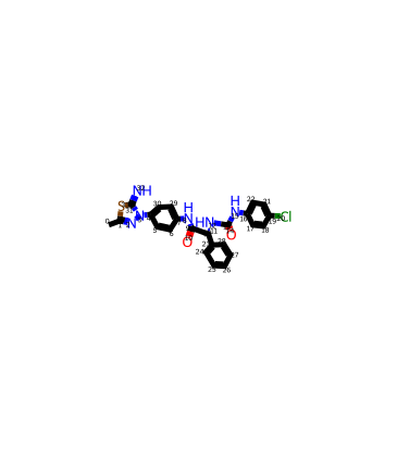 Cc1nn(-c2ccc(NC(=O)[C@H](NC(=O)Nc3ccc(Cl)cc3)c3ccccc3)cc2)c(=N)s1